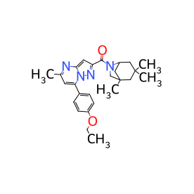 CCOc1ccc(-c2cc(C)nc3cc(C(=O)N4CC5(C)CC4CC(C)(C)C5)nn23)cc1